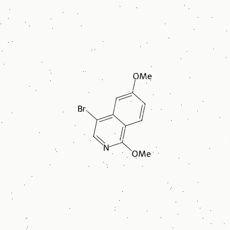 COc1ccc2c(OC)ncc(Br)c2c1